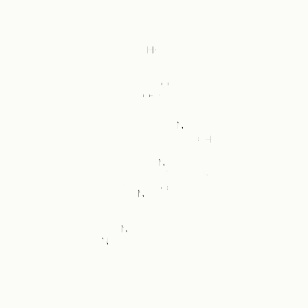 Cc1cc(N(Cc2ccc(-c3ccc(N4CCCC4)nc3)nc2)C(=O)C2CCOCC2)cc(/C=C/C(=O)OCCO)n1